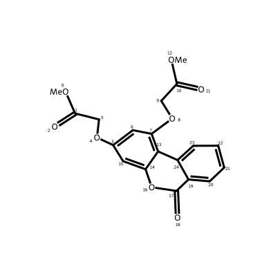 COC(=O)COc1cc(OCC(=O)OC)c2c(c1)oc(=O)c1ccccc12